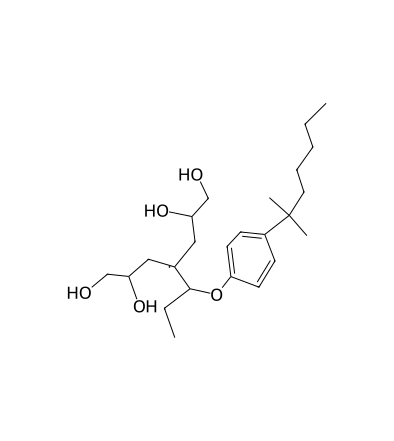 CCCCCC(C)(C)c1ccc(OC(CC)[C](CC(O)CO)CC(O)CO)cc1